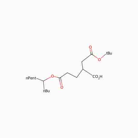 CCCCCC(CCCC)OC(=O)CCC(CC(=O)OC(C)(C)C)C(=O)O